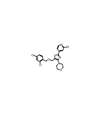 CCc1cc(-c2nc(N3CCOCC3)c(COCc3ccc(Cl)cc3Cl)s2)ccn1